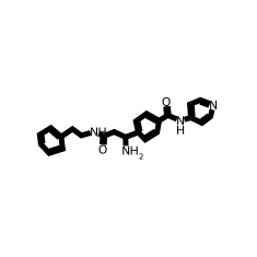 NC(CC(=O)NCCc1ccccc1)c1ccc(C(=O)Nc2ccncc2)cc1